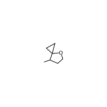 CC1CCOC12CC2